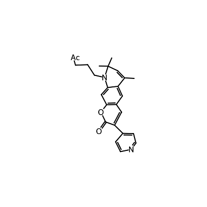 CC(=O)CCCN1c2cc3oc(=O)c(-c4ccncc4)cc3cc2C(C)=CC1(C)C